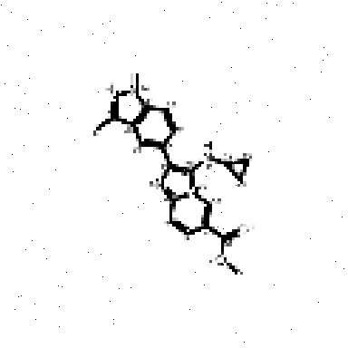 COC(=O)c1ccc2nc(-c3ccc4[nH]nc(C)c4c3)c(NC3CC3)n2c1